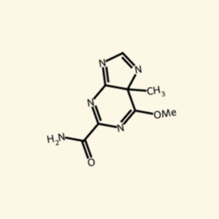 COC1=NC(C(N)=O)=NC2=NC=NC21C